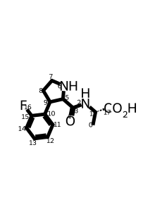 C[C@H](NC(=O)C1NCCC1c1ccccc1F)C(=O)O